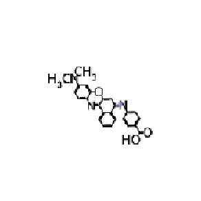 CN(C)c1ccc2nc3c4ccccc4/c(=N\c4ccc(C(=O)O)cc4)cc-3oc2c1